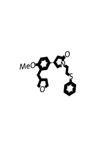 COc1ccc([C@@H]2CC(=O)N(CCSc3ccccc3)C2)cc1CC1CCOC1